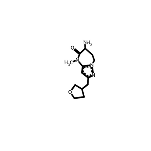 CN1C(=O)C(N)CCn2nc(CC3CCOC3)cc21